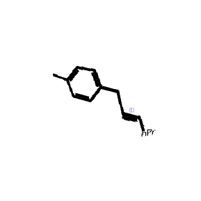 CCC/C=C/Cc1ccc(C)cc1